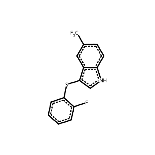 Fc1ccccc1Sc1c[nH]c2ccc(C(F)(F)F)cc12